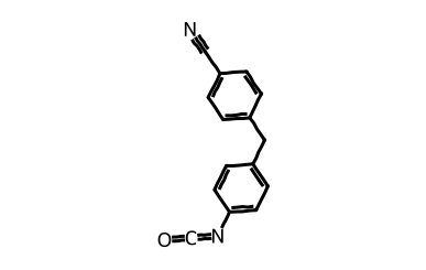 N#Cc1ccc(Cc2ccc(N=C=O)cc2)cc1